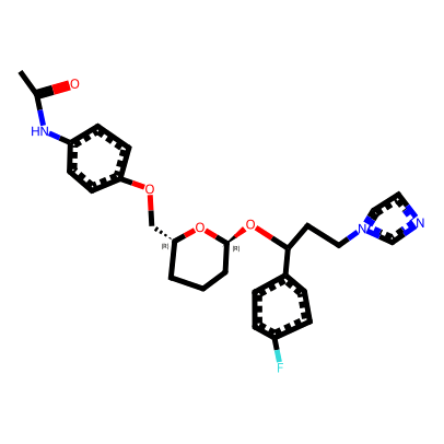 CC(=O)Nc1ccc(OC[C@H]2CCC[C@H](OC(CCn3ccnc3)c3ccc(F)cc3)O2)cc1